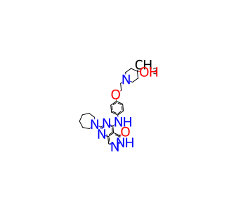 CC1(O)CCN(CCOc2ccc(Nc3nc(N4CCCCCC4)nc4cn[nH]c(=O)c34)cc2)CC1